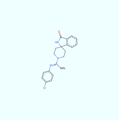 CS/C(=N\c1ccc(Cl)cc1)N1CCC2(CC1)NC(=O)c1ccccc12